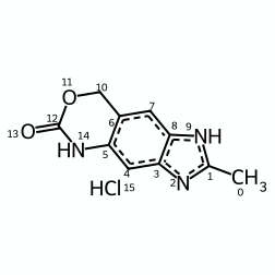 Cc1nc2cc3c(cc2[nH]1)COC(=O)N3.Cl